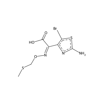 CSCON=C(C(=O)O)c1nc(N)sc1Br